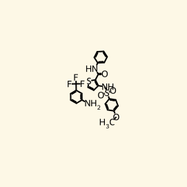 COc1ccc(S(=O)(=O)Nc2ccsc2C(=O)Nc2ccccc2)cc1.Nc1cccc(C(F)(F)F)c1